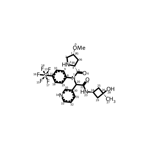 CO[C@H]1CN[C@@H](C(=O)N(c2ccc(S(F)(F)(F)(F)F)cc2)C(C(=O)N[C@H]2C[C@@](C)(O)C2)c2cccnc2)C1